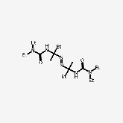 CCN(CC)C(=O)NC(C)(CC)/N=N/C(C)(CC)NC(=O)N(CC)CC